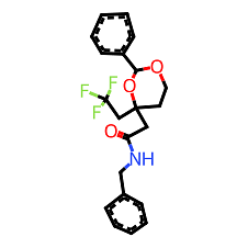 O=C(CC1(CC(F)(F)F)CCOC(c2ccccc2)O1)NCc1ccccc1